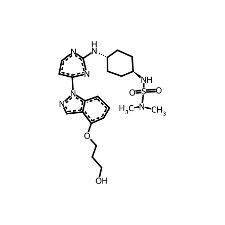 CN(C)S(=O)(=O)N[C@H]1CC[C@H](Nc2nccc(-n3ncc4c(OCCCO)cccc43)n2)CC1